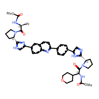 COC(=O)N[C@H](C(=O)N1CCC[C@H]1c1nc(-c2ccc3nc(-c4ccc(-c5cnc([C@@H]6CCCN6C(=O)[C@@H](NC(=O)OC)C6CCOCC6)[nH]5)cc4)ccc3c2)c[nH]1)C(C)C